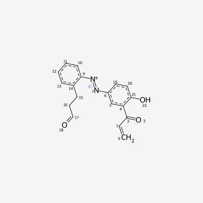 C=CC(=O)c1cc(/N=N/c2ccccc2CCC=O)ccc1O